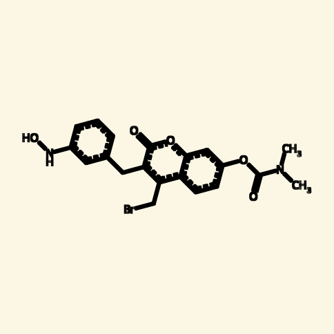 CN(C)C(=O)Oc1ccc2c(CBr)c(Cc3cccc(NO)c3)c(=O)oc2c1